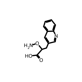 NOC(Cc1cnc2ccccc2c1)C(=O)O